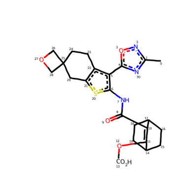 Cc1noc(-c2c(NC(=O)C3=C(OC(=O)O)C4CCC3CC4)sc3c2CCC2(COC2)C3)n1